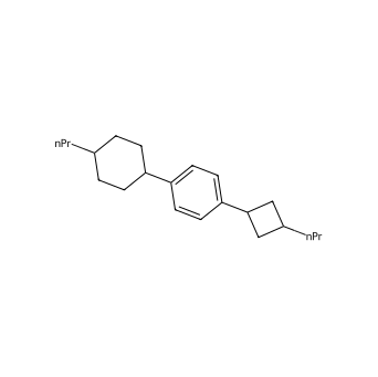 CCCC1CCC(c2ccc(C3CC(CCC)C3)cc2)CC1